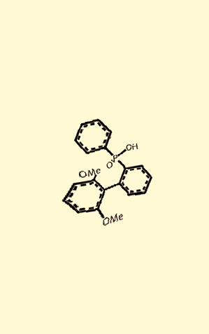 COc1cccc(OC)c1-c1ccccc1P(=O)(O)c1ccccc1